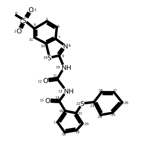 CS(=O)(=O)c1ccc2nc(NC(=O)NC(=O)c3ccccc3Sc3ccccc3)sc2c1